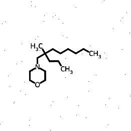 CCCCCCC(C)(CCC)CN1CCOCC1